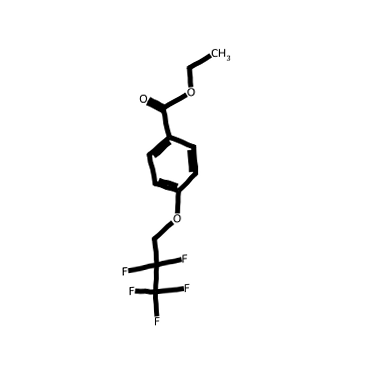 CCOC(=O)c1ccc(OCC(F)(F)C(F)(F)F)cc1